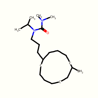 BC1CCCCCCC(CCCN(C(=O)N(C)C)C(C)C)CCCC1